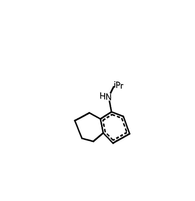 CC(C)Nc1cccc2c1CCCC2